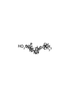 C[Si](C)(C)CCOCn1ccc2c(-c3cnn(C4(CF)CN(C(=O)O)C4)c3)ncnc21